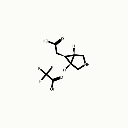 O=C(O)C(F)(F)F.O=C(O)C[C@H]1[C@@H]2CNC[C@@H]21